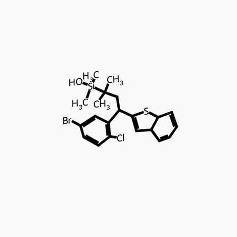 CC(C)(CC(C1=CC2C=CC=CC2S1)c1cc(Br)ccc1Cl)[Si](C)(C)O